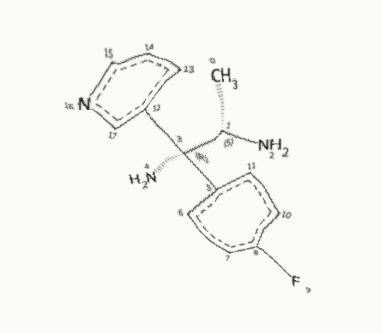 C[C@H](N)[C@@](N)(c1ccc(F)cc1)c1cccnc1